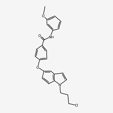 COc1cccc(NC(=O)c2ccc(Oc3ccc4c(ccn4CCCCl)c3)cc2)c1